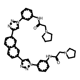 O=C(CN1CCCC1)Nc1cccc(-n2cc(-c3ccc4ccc(-c5cn(-c6cccc(NC(=O)CN7CCCC7)c6)nn5)cc4c3)nn2)c1